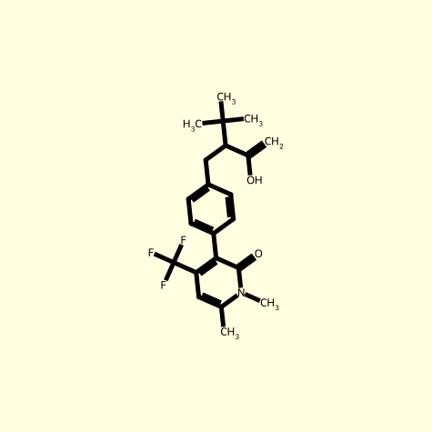 C=C(O)C(Cc1ccc(-c2c(C(F)(F)F)cc(C)n(C)c2=O)cc1)C(C)(C)C